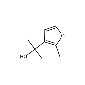 Cc1occc1C(C)(C)O